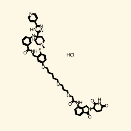 CN1CCC(Nc2cccc(C(=O)NCc3cc(OCCCCCOCCCOCC(=O)Nc4cccc5c4CN(C4CCC(=O)NC4=O)C5=O)ccc3F)c2)(c2nnc(-c3ccncc3)[nH]2)CC1.Cl